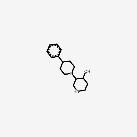 OC1CCNCC1N1CCC(c2ccccc2)CC1